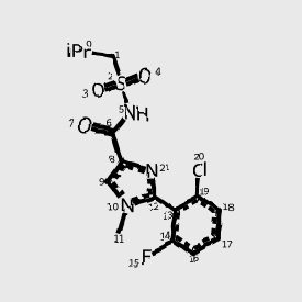 CC(C)CS(=O)(=O)NC(=O)c1cn(C)c(-c2c(F)cccc2Cl)n1